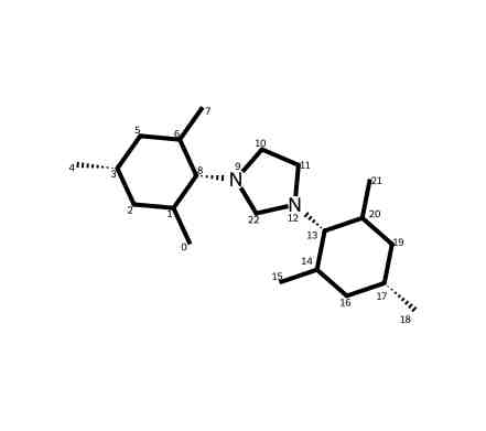 CC1C[C@H](C)CC(C)[C@@H]1N1CCN([C@H]2C(C)C[C@@H](C)CC2C)C1